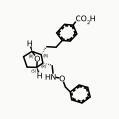 O=C(O)c1ccc(CC[C@@H]2[C@H](CNOCc3ccccc3)[C@@H]3CC[C@H]2O3)cc1